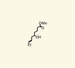 CCC=CCC(O)CCCC(=O)OC